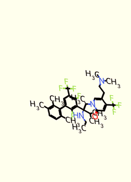 CCN[C@](c1c(F)c(-c2c(C)ccc(C)c2C)cc(C(F)(F)F)c1F)(C(C)C)[C@H](C)n1cc(CCN(C)C)c(C(F)(F)F)cc1=O